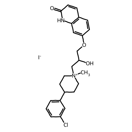 C[N+]1(CC(O)COc2ccc3ccc(=O)[nH]c3c2)CCC(c2cccc(Cl)c2)CC1.[I-]